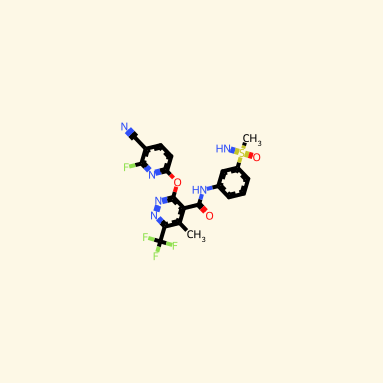 Cc1c(C(F)(F)F)nnc(Oc2ccc(C#N)c(F)n2)c1C(=O)Nc1cccc(S(C)(=N)=O)c1